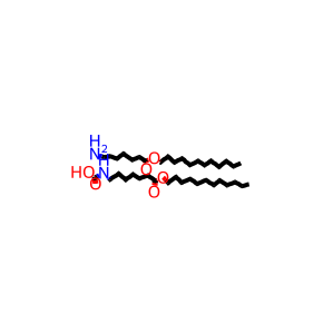 CCCCCCCCCCCCOC(=O)CCCCCCN.CCCCCCCCCCCCOC(=O)CCCCCCNC(=O)O